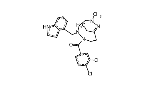 CC/C1=N\N(C)CCN(Cc2cccc3[nH]ccc23)N(C(=O)c2ccc(Cl)c(Cl)c2)CC1